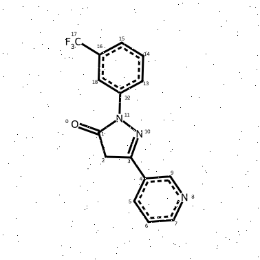 O=C1CC(c2cccnc2)=NN1c1cccc(C(F)(F)F)c1